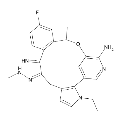 CCn1ccc2c1-c1cnc(N)c(c1)OC(C)c1cc(F)ccc1C(=N)/C(=N\NC)C2